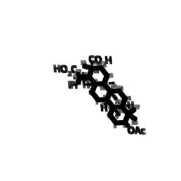 CC(=O)OC1CC[C@]2(C)[C@H]3CC[C@@H]4C(=C(C(=O)O)C(C)C)[C@](C)(C(=O)O)CC[C@@]4(C)[C@]3(C)CC[C@H]2C1(C)C